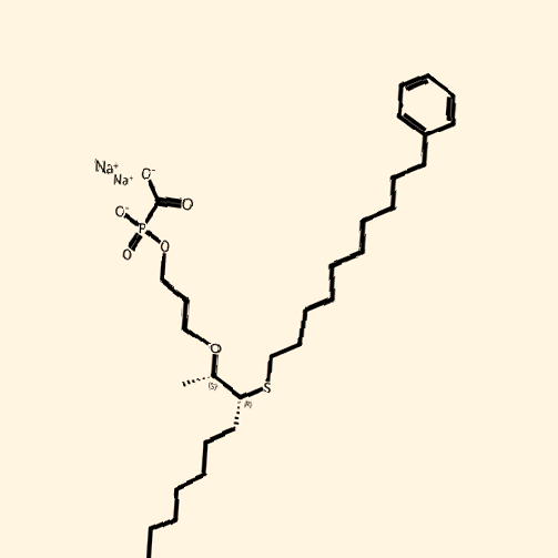 CCCCCCC[C@@H](SCCCCCCCCCCc1ccccc1)[C@H](C)OCCCOP(=O)([O-])C(=O)[O-].[Na+].[Na+]